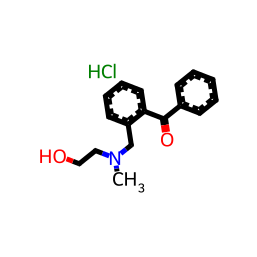 CN(CCO)Cc1ccccc1C(=O)c1ccccc1.Cl